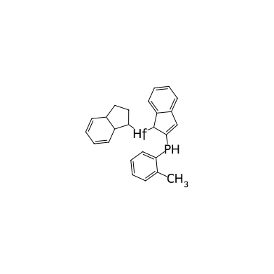 Cc1ccccc1PC1=Cc2ccccc2[CH]1[Hf][CH]1CCC2C=CC=CC21